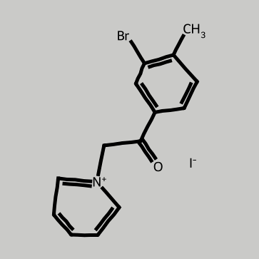 Cc1ccc(C(=O)C[n+]2ccccc2)cc1Br.[I-]